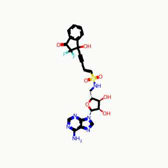 Nc1ncnc2c1ncn2[C@@H]1O[C@H](CNS(=O)(=O)/C=C/C#CC2(O)c3ccccc3C(=O)C2(F)F)[C@@H](O)[C@H]1O